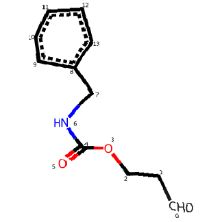 O=CCCOC(=O)NCc1ccccc1